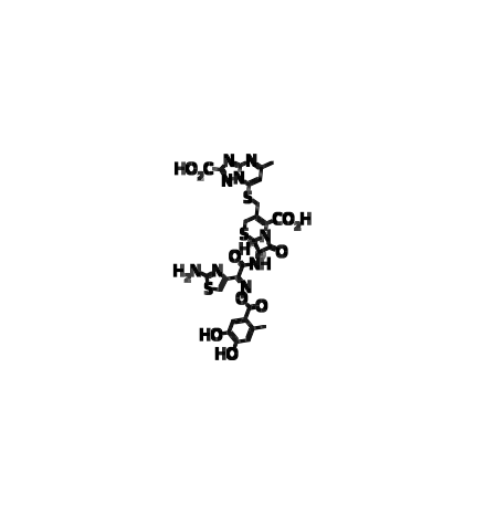 Cc1cc(SCC2=C(C(=O)O)N3C(=O)[C@@H](NC(=O)C(=NOC(=O)c4cc(O)c(O)cc4C)c4csc(N)n4)[C@H]3SC2)n2nc(C(=O)O)nc2n1